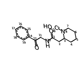 O=C(CC1CCCCN1C(=O)O)NCC(=O)c1ccccc1